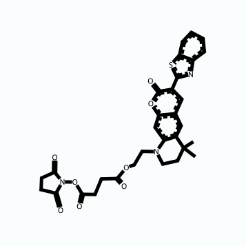 CC1(C)CCN(CCOC(=O)CCC(=O)ON2C(=O)CCC2=O)c2cc3oc(=O)c(-c4nc5ccccc5s4)cc3cc21